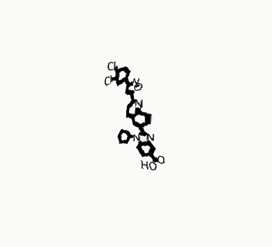 O=C(O)c1ccc2c(c1)nc(-c1ccc3nc(-c4cc(-c5ccc(Cl)c(Cl)c5)no4)ccc3c1)n2C1CCCCC1